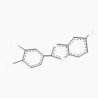 Nc1cc(-c2nc3ccc(Cl)cc3s2)ccc1O